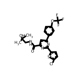 CC(C)(O)CNC(=O)c1cc(-c2ccc(OC(F)(F)F)cc2)nc(-c2ccc(Cl)s2)n1